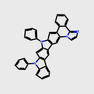 c1ccc(-n2c3ccccc3c3cc4c5cc6c(cc5n(-c5ccccc5)c4cc32)c2ccccc2c2nccn62)cc1